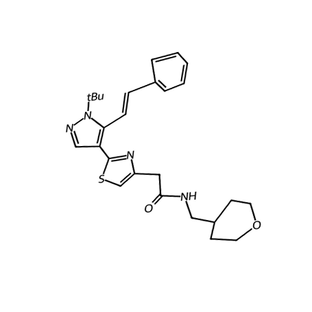 CC(C)(C)n1ncc(-c2nc(CC(=O)NCC3CCOCC3)cs2)c1C=Cc1ccccc1